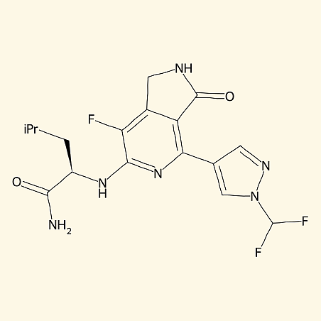 CC(C)C[C@@H](Nc1nc(-c2cnn(C(F)F)c2)c2c(c1F)CNC2=O)C(N)=O